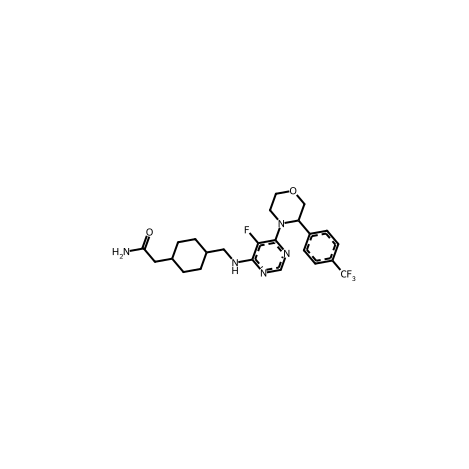 NC(=O)CC1CCC(CNc2ncnc(N3CCOCC3c3ccc(C(F)(F)F)cc3)c2F)CC1